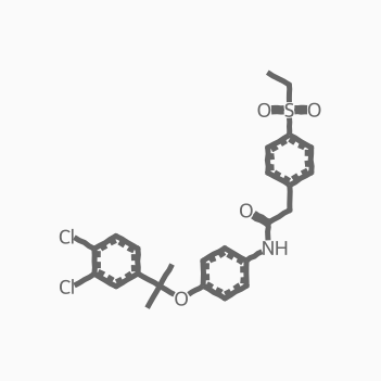 CCS(=O)(=O)c1ccc(CC(=O)Nc2ccc(OC(C)(C)c3ccc(Cl)c(Cl)c3)cc2)cc1